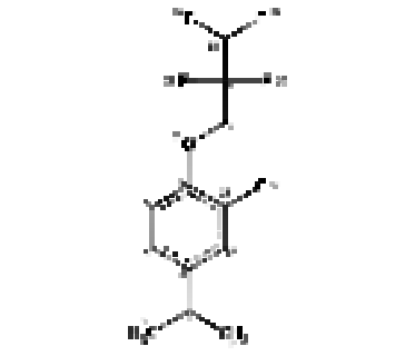 CC(C)c1ccc(OCC(F)(F)C(F)F)c(Cl)c1